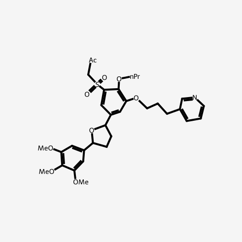 CCCOc1c(OCCCc2cccnc2)cc(C2CCC(c3cc(OC)c(OC)c(OC)c3)O2)cc1S(=O)(=O)CC(C)=O